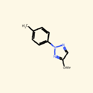 COc1cnn(-c2ccc(C)cc2)n1